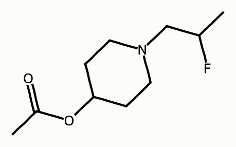 CC(=O)OC1CCN(CC(C)F)CC1